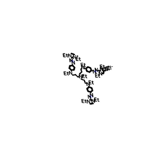 CCN(CCC[N+](CC)(CCCN(CC)c1ccc(/N=N/c2n(CC)cc[n+]2CC)cc1)CCCN(CC)c1ccc(/N=N/c2n(CC)cc[n+]2CC)cc1)c1ccc(/N=N/c2n(CC)cc[n+]2CC)cc1.[Cl-].[Cl-].[Cl-].[Cl-]